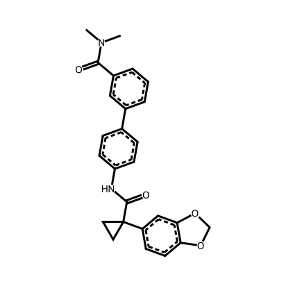 CN(C)C(=O)c1cccc(-c2ccc(NC(=O)C3(c4ccc5c(c4)OCO5)CC3)cc2)c1